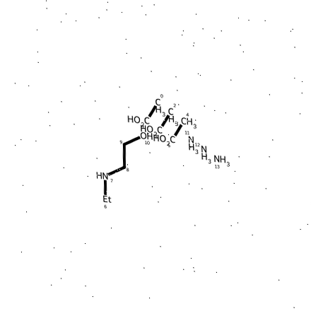 CC(=O)O.CC(=O)O.CC(=O)O.CCNCCO.N.N.N